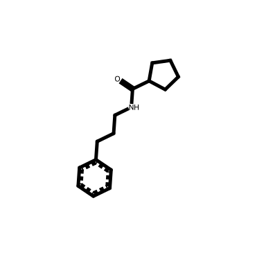 O=C(NCCCc1ccccc1)C1CCCC1